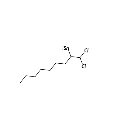 CCCCCCC[CH]([Sn])C(Cl)Cl